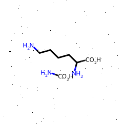 NC(=O)O.NCCCCC(N)C(=O)O